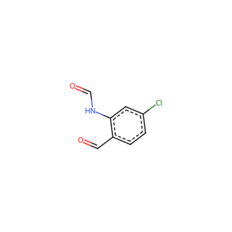 O=CNc1cc(Cl)ccc1C=O